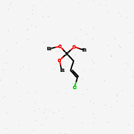 CCO[Si](CC=CCl)(OCC)OCC